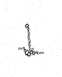 COCOc1ccc2c(c1)C(=O)[C@@H](CCCCOCCOCCOCCOCCOCc1ccccc1)C1C2CCCC2(C)CCC(OCOC)CCC12